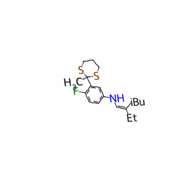 CCC(=CNc1ccc(F)c(C2(C)SCCCS2)c1)C(C)CC